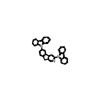 c1ccc2c(c1)c1ccccc1n2-c1ccc2c(c1)-c1cc(-n3c4ccccc4c4ccccc43)ncc1C2